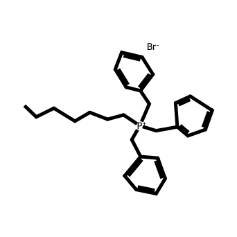 CCCCCCC[P+](Cc1ccccc1)(Cc1ccccc1)Cc1ccccc1.[Br-]